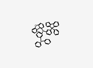 c1ccc(N(c2ccccc2)c2cccc(N(c3cccc(C4(c5ccccc5)c5ccccc5-c5ccccc54)c3)c3cccc4oc5ccccc5c34)c2)cc1